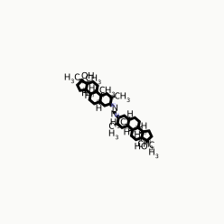 C[C@@H]1C[C@@]2(C)[C@@H](CC[C@@H]3[C@@H]2CC[C@@]2(C)[C@H]3CC[C@]2(C)O)C/C1=N\N=C1/C[C@@H]2CC[C@@H]3[C@H](CC[C@@]4(C)[C@H]3CC[C@]4(C)O)[C@@]2(C)C[C@H]1C